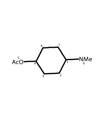 CNC1CCC(OC(C)=O)CC1